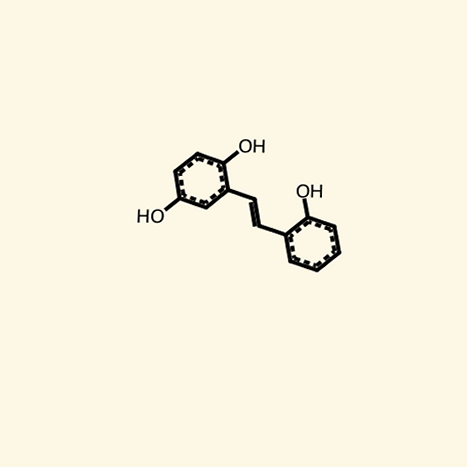 Oc1ccc(O)c(/C=C/c2ccccc2O)c1